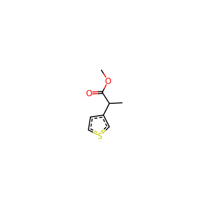 COC(=O)C(C)c1ccsc1